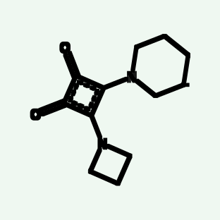 O=c1c(N2C[CH]CCC2)c(N2CCC2)c1=O